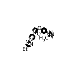 CCc1cnc(N2CCC(N3CCC(Oc4ccc(-n5nnnc5C)cc4)C3=O)CC2)nc1